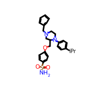 CC(C)c1ccc(N2CCN(Cc3ccccc3)CC2COc2ccc(S(N)(=O)=O)cc2)cc1